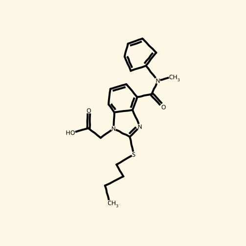 CCCCSc1nc2c(C(=O)N(C)c3ccccc3)cccc2n1CC(=O)O